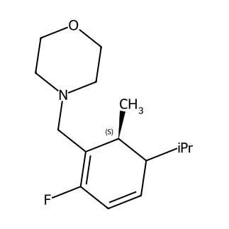 CC(C)C1C=CC(F)=C(CN2CCOCC2)[C@H]1C